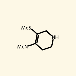 CNC1=C(SC)CNCC1